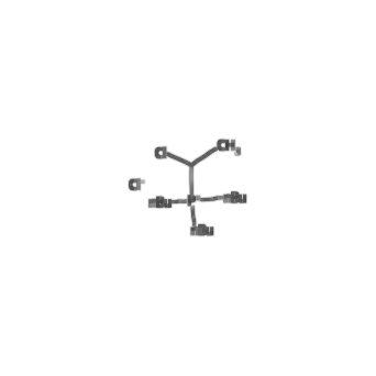 CCCC[P+](CCCC)(CCCC)C(C)Cl.[Cl-]